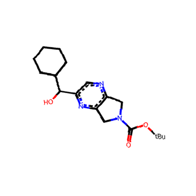 CC(C)(C)OC(=O)N1Cc2ncc(C(O)C3CCCCC3)nc2C1